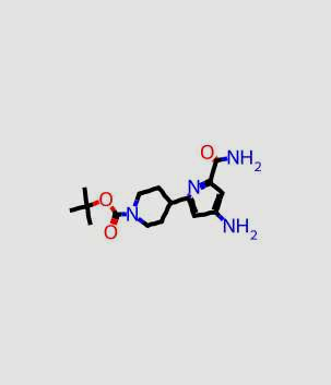 CC(C)(C)OC(=O)N1CCC(c2cc(N)cc(C(N)=O)n2)CC1